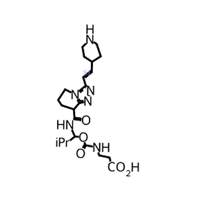 CC(C)C(NC(=O)C1CCCn2c(/C=C/C3CCNCC3)nnc21)OC(=O)NCCC(=O)O